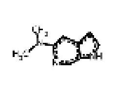 CN(C)c1cc2cc[nH]c2cn1